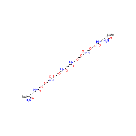 CN[C@@H](CCCCNC(=O)COCCOCCNC(=O)COCCOCCNC(=O)CCCC(=O)NCCOCCOCC(=O)NCCOCCOCC(=O)NCCCC[C@H](NC)C(N)=O)C(N)=O